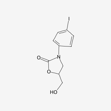 O=C1OC(CO)CN1c1ccc(I)cc1